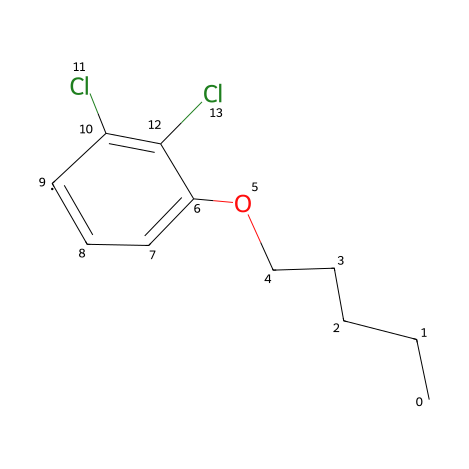 CCCCCOc1cc[c]c(Cl)c1Cl